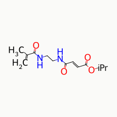 C=C(C)C(=O)NCCNC(=O)/C=C/C(=O)OC(C)C